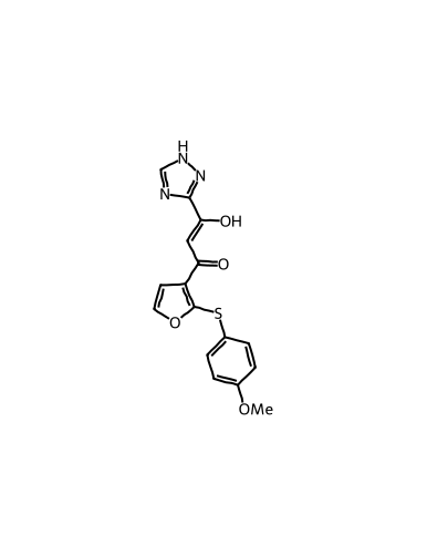 COc1ccc(Sc2occc2C(=O)C=C(O)c2nc[nH]n2)cc1